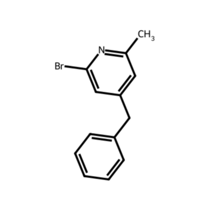 Cc1cc(Cc2ccccc2)cc(Br)n1